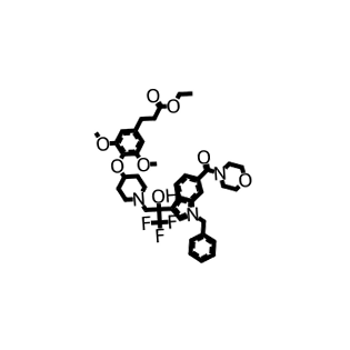 CCOC(=O)CCc1cc(OC)c(OC2CCN(CC(O)(c3cn(Cc4ccccc4)c4cc(C(=O)N5CCOCC5)ccc34)C(F)(F)F)CC2)c(OC)c1